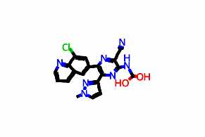 Cn1ccc(-c2nc(NC(O)O)c(C#N)nc2-c2cc(Cl)c3ncccc3c2)n1